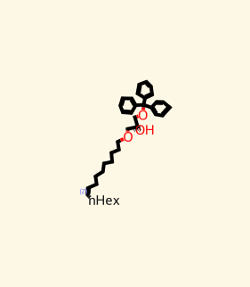 CCCCCC/C=C\CCCCCCCCOC[C@@H](O)COC(c1ccccc1)(c1ccccc1)c1ccccc1